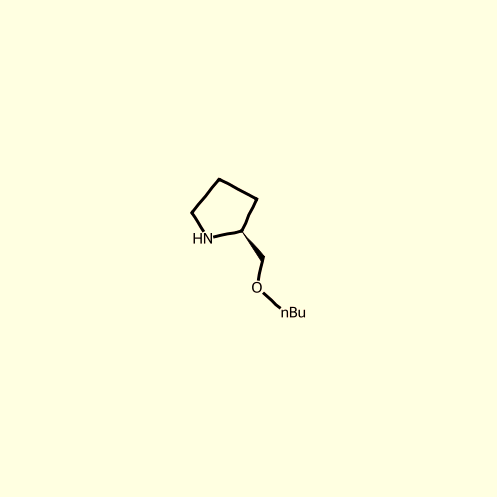 CCCCOC[C@@H]1CCCN1